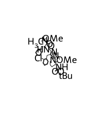 COCn1nc(C(=O)N[C@@H](Cc2ccccc2)C(=O)N(C)OC)c(Cc2ccccc2Cl)c1N1CCC[C@@H](NC(=O)OC(C)(C)C)C1